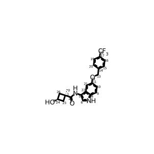 C[C@]1(C(=O)Nc2c[nH]c3ccc(OCc4ccc(C(F)(F)F)cc4)cc23)C[C@@H](O)C1